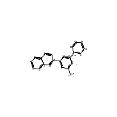 CC(C)c1cc(-c2ccc3ccccc3c2)cc(-c2ccccc2)n1